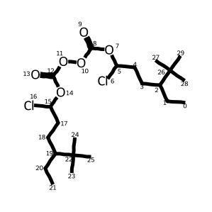 CCC(CCC(Cl)OC(=O)OOC(=O)OC(Cl)CCC(CC)C(C)(C)C)C(C)(C)C